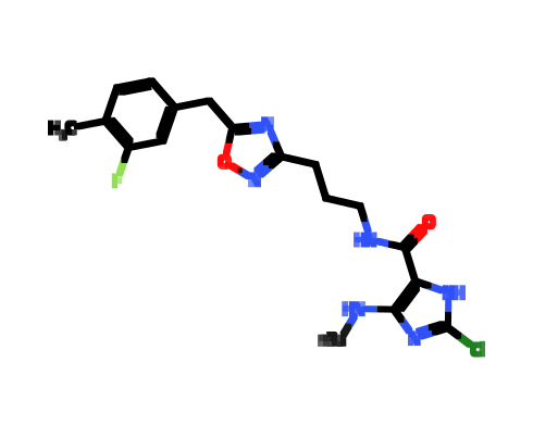 CCCCNc1nc(Cl)[nH]c1C(=O)NCCCc1noc(Cc2ccc(C)c(F)c2)n1